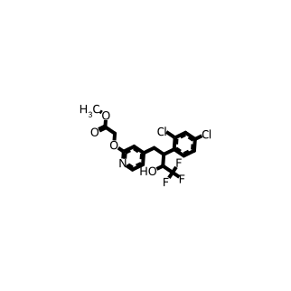 COC(=O)COc1cc(CC(c2ccc(Cl)cc2Cl)C(O)C(F)(F)F)ccn1